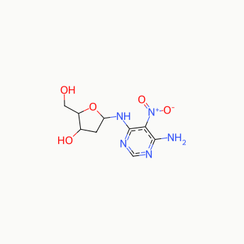 Nc1ncnc(NC2CC(O)C(CO)O2)c1[N+](=O)[O-]